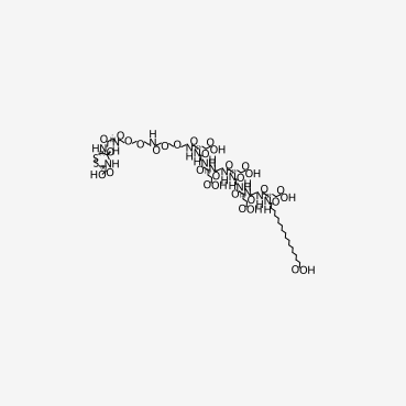 C[C@H](NC(=O)COCCOCCNC(=O)COCCOCCNC(=O)[C@H](CCC(=O)O)NC(=O)CNC(=O)[C@H](CCC(=O)O)NC(=O)CNC(=O)[C@H](CCC(=O)O)NC(=O)CNC(=O)[C@H](CCC(=O)O)NC(=O)CNC(=O)[C@H](CCC(=O)O)NC(=O)CCCCCCCCCCCCCCCCC(=O)O)C(=O)CN[C@H]1CSSC[C@@H](C(=O)O)NCC1=O